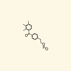 Cc1ccc(C(=O)c2ccc(CCOP=O)cc2)c(C)c1C